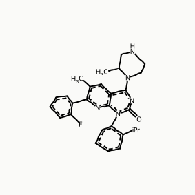 Cc1cc2c(N3CCNC[C@@H]3C)nc(=O)n(-c3ccccc3C(C)C)c2nc1-c1ccccc1F